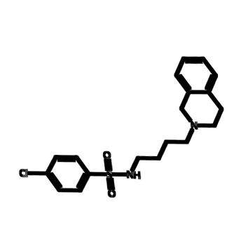 O=S(=O)(NCCCCN1CCc2ccccc2C1)c1ccc(Cl)cc1